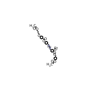 C=CC(=O)OCCCCOc1ccc(C(=O)Oc2ccc(/C=N/N=C/c3ccc(OOCc4ccc(OC(=O)C=C)cc4)c(OCC)c3)cc2)cc1